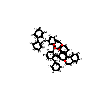 c1ccc(-c2ccccc2-c2c(-c3ccccc3)cccc2N(c2cccc(-c3cccc4ccccc34)c2)c2cccc(-n3c4ccccc4c4ccccc43)c2)cc1